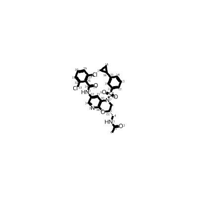 CC(=O)NC[C@H]1CN(S(=O)(=O)c2cccc(C3CC3)c2)c2cc(NC(=O)c3c(Cl)cccc3Cl)cnc2O1